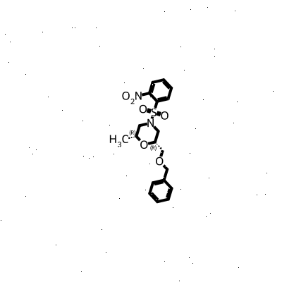 C[C@@H]1CN(S(=O)(=O)c2ccccc2[N+](=O)[O-])C[C@H](COCc2ccccc2)O1